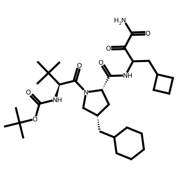 CC(C)(C)OC(=O)N[C@H](C(=O)N1C[C@@H](CC2CCCCC2)C[C@H]1C(=O)NC(CC1CCC1)C(=O)C(N)=O)C(C)(C)C